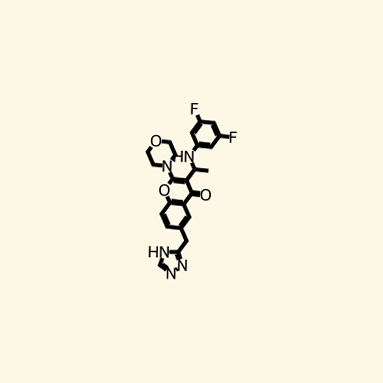 CC(Nc1cc(F)cc(F)c1)c1c(N2CCOCC2)oc2ccc(Cc3nnc[nH]3)cc2c1=O